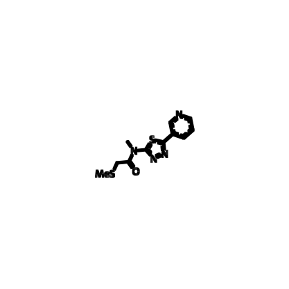 CSCC(=O)N(C)c1nnc(-c2cccnc2)s1